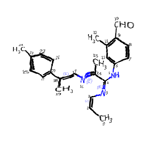 C\C=C/N=C(Nc1ccc(C=O)c(C)c1)\C(C)=N\C=C(/C)c1ccc(C)cc1